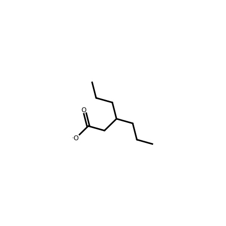 CCCC(CCC)CC([O])=O